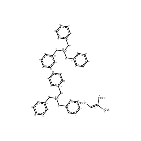 CCCCCCCC/C(=C/C(=O)[O-])C(=O)[O-].c1ccc([CH2][Sn+]([CH2]c2ccccc2)[CH2]c2ccccc2)cc1.c1ccc([CH2][Sn+]([CH2]c2ccccc2)[CH2]c2ccccc2)cc1